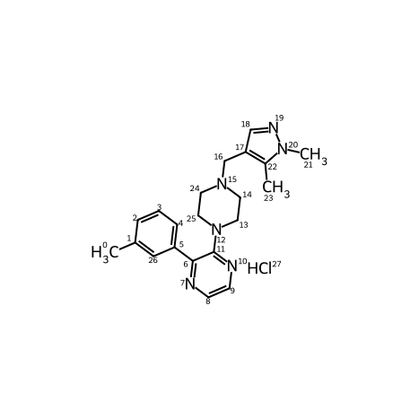 Cc1cccc(-c2nccnc2N2CCN(Cc3cnn(C)c3C)CC2)c1.Cl